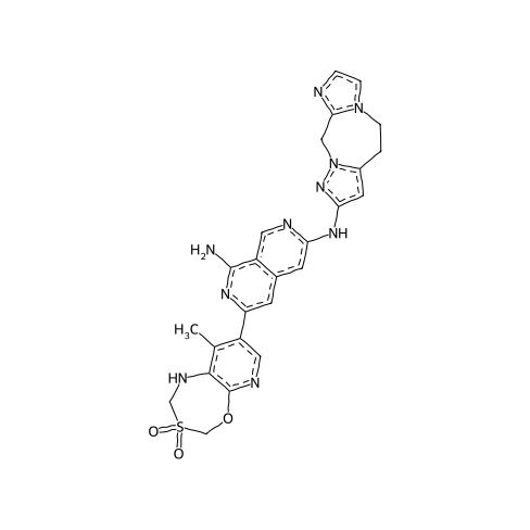 Cc1c(-c2cc3cc(Nc4cc5n(n4)Cc4nccn4CC5)ncc3c(N)n2)cnc2c1NCS(=O)(=O)CO2